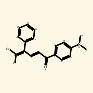 C/C(Br)=C(\C=C\C(=O)c1ccc(N(C)C)cc1)c1ccccc1